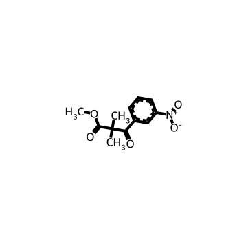 COC(=O)C(C)(C)C(=O)c1cccc([N+](=O)[O-])c1